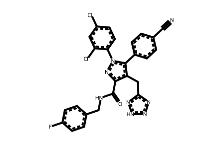 N#Cc1ccc(-c2c(Cc3nn[nH]n3)c(C(=O)NCc3ccc(F)cc3)nn2-c2ccc(Cl)cc2Cl)cc1